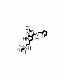 [2H]C([2H])([2H])NCCc1cc2c(NCc3ccco3)nc(Cl)nc2[nH]1